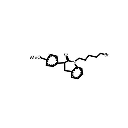 COc1ccc(C2Cc3ccccc3N(CCCCCBr)C2=O)cc1